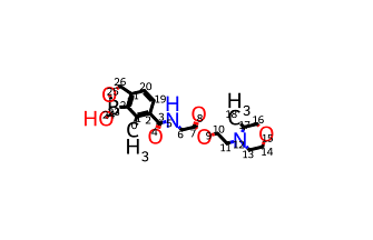 Cc1c(C(=O)NCC(=O)OCCN2CCOCC2C)ccc2c1B(O)OC2